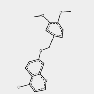 COc1ccc(COc2ccc3c(Cl)ccnc3c2)cc1OC